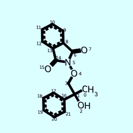 CC(O)(CON1C(=O)c2ccccc2C1=O)c1ccccc1